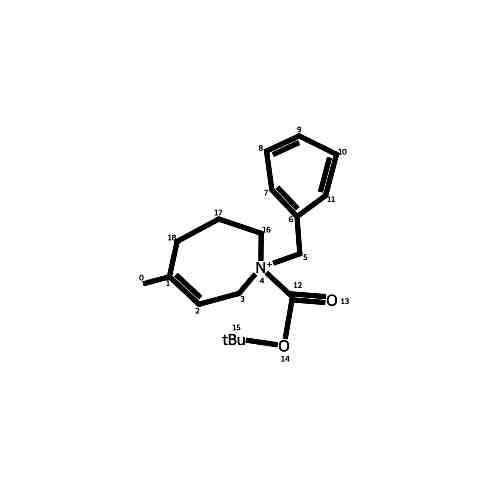 CC1=CC[N+](Cc2ccccc2)(C(=O)OC(C)(C)C)CCC1